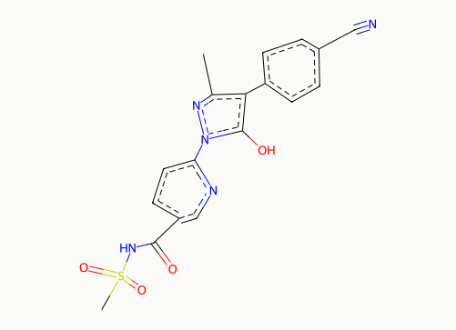 Cc1nn(-c2ccc(C(=O)NS(C)(=O)=O)cn2)c(O)c1-c1ccc(C#N)cc1